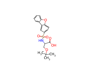 CC(C)(C)OCC(NS(=O)(=O)c1ccc2oc3ccccc3c2c1)C(=O)O